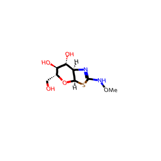 CONC1=N[C@@H]2[C@@H](O)[C@H](O)[C@@H](CO)O[C@@H]2S1